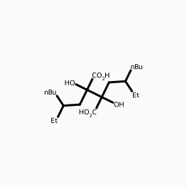 CCCCC(CC)CC(O)(C(=O)O)C(O)(CC(CC)CCCC)C(=O)O